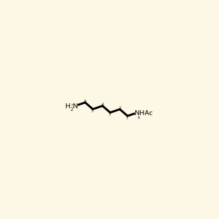 [CH2]C(=O)NCCCCCCN